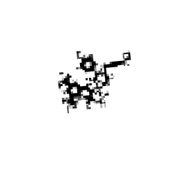 C[SiH](C)OC([C@@H](O[C@H]1OCCN(CC#CCCl)[C@H]1c1ccc(F)cc1)c1cc(C(F)(F)F)cc(C(F)(F)F)c1)C(C)(C)C